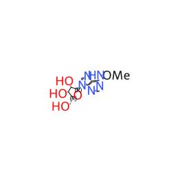 CONc1ncnc2c1ncn2[C@@H]1O[C@H](CO)C(O)C1O